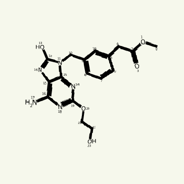 COC(=O)Cc1cccc(Cn2c(O)nc3c(N)nc(OCCO)nc32)c1